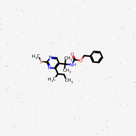 CCC(C)c1nc(SC)ncc1C(C)(C)NC(=O)OCc1ccccc1